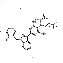 CC(C)CCN(c1c(N)nc(-c2nn(Cc3ccccc3F)c3ncccc23)nc1N)[S+]([O-])N(C)C